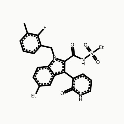 CCc1ccc2c(c1)c(-c1ccc[nH]c1=O)c(C(=O)NS(=O)(=O)CC)n2Cc1cccc(C)c1F